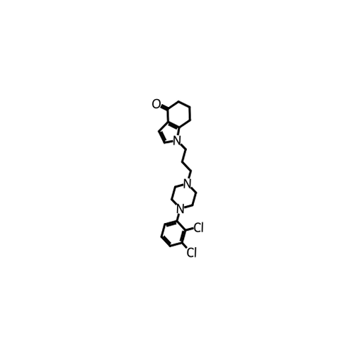 O=C1CCCc2c1ccn2CCCN1CCN(c2cccc(Cl)c2Cl)CC1